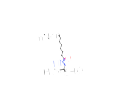 CCCCCCCCCCCCCCCC(=O)NCC([SiH3])C=O